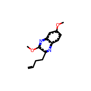 C=CCCc1nc2ccc(OC)cc2nc1OC